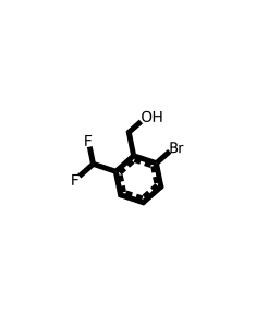 OCc1c(Br)cccc1C(F)F